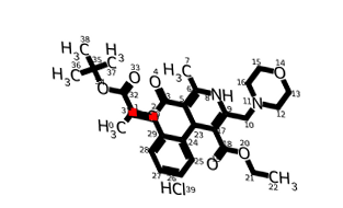 CCOC(=O)C1=C(C)NC(CN2CCOCC2)=C(C(=O)OCC)C1c1ccccc1/C=C/C(=O)OC(C)(C)C.Cl